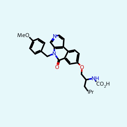 COc1ccc(Cn2c(=O)c3cc(OCC(CC(C)C)NC(=O)O)ccc3c3ccncc32)cc1